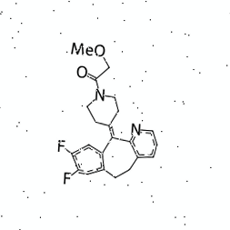 COCC(=O)N1CCC(=C2c3cc(F)c(F)cc3CCc3cccnc32)CC1